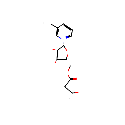 O=C(C[C@H](O)C(=O)O)OC[C@H]1O[C@@H]([n+]2cccc(C(=O)O)c2)[C@H](O)[C@@H]1O